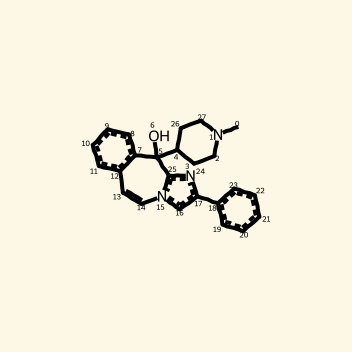 CN1CCC(C2(O)c3ccccc3C=Cn3cc(-c4ccccc4)nc32)CC1